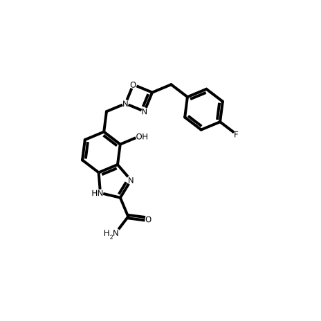 NC(=O)c1nc2c(O)c(Cn3nc(Cc4ccc(F)cc4)o3)ccc2[nH]1